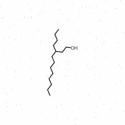 CCCCCCCCC(CCO)CCCC